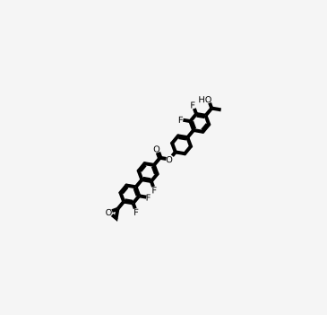 CC(O)c1ccc(C2=CCC(OC(=O)c3ccc(-c4ccc(C5CO5)c(F)c4F)c(F)c3)CC2)c(F)c1F